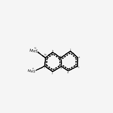 CSc1cc2ccccc2cc1SC